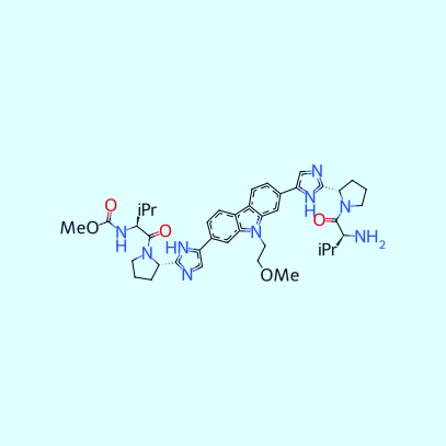 COCCn1c2cc(-c3cnc([C@@H]4CCCN4C(=O)[C@@H](N)C(C)C)[nH]3)ccc2c2ccc(-c3cnc([C@@H]4CCCN4C(=O)[C@@H](NC(=O)OC)C(C)C)[nH]3)cc21